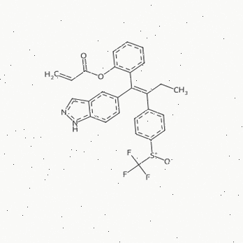 C=CC(=O)Oc1ccccc1/C(=C(\CC)c1ccc([S+]([O-])C(F)(F)F)cc1)c1ccc2[nH]ncc2c1